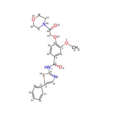 COc1cc(C(=O)Nc2ncc(-c3ccccc3)s2)ccc1OCC(=O)N1CCOCC1